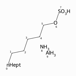 CCCCCCCCCCCCOS(=O)(=O)O.N.[AlH3]